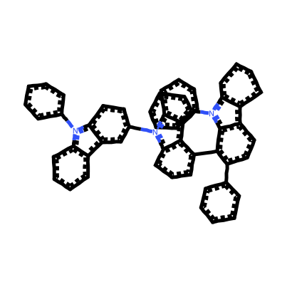 c1ccc(-c2ccc3c4ccccc4n(-c4ccccc4)c3c2-c2cccc3c2c2ccccc2n3-c2ccc3c(c2)c2ccccc2n3-c2ccccc2)cc1